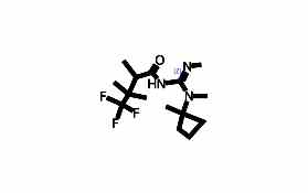 C/N=C(/NC(=O)C(C)C(C)(C)C(F)(F)F)N(C)C1(C)CCC1